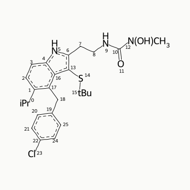 CC(C)c1ccc2[nH]c(CCNC(=O)N(C)O)c(SC(C)(C)C)c2c1Cc1ccc(Cl)cc1